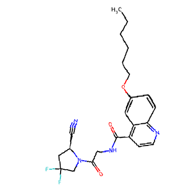 CCCCCCOc1ccc2nccc(C(=O)NCC(=O)N3CC(F)(F)C[C@H]3C#N)c2c1